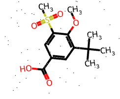 COc1c(C(C)(C)C)cc(C(=O)O)cc1S(C)(=O)=O